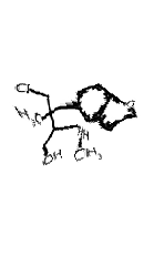 CNC(CO)C(C)(CCl)c1ccc2occc2c1